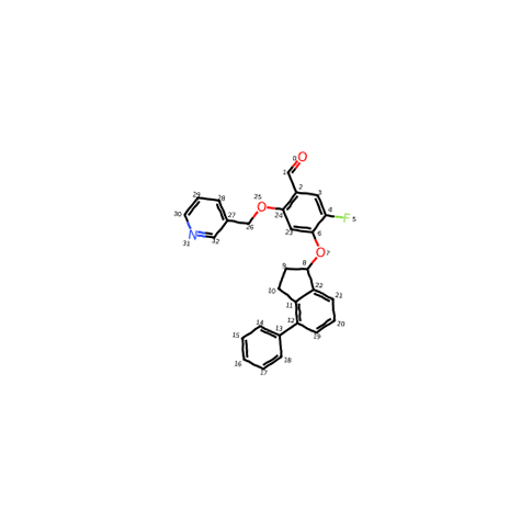 O=Cc1cc(F)c(OC2CCc3c(-c4ccccc4)cccc32)cc1OCc1cccnc1